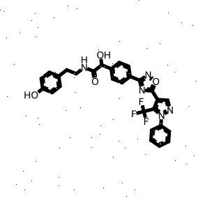 O=C(NCCc1ccc(O)cc1)C(O)c1ccc(-c2noc(-c3cnn(-c4ccccc4)c3C(F)(F)F)n2)cc1